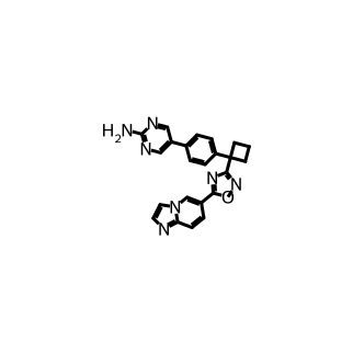 Nc1ncc(-c2ccc(C3(c4noc(-c5ccc6nccn6c5)n4)CCC3)cc2)cn1